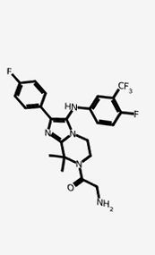 CC1(C)c2nc(-c3ccc(F)cc3)c(Nc3ccc(F)c(C(F)(F)F)c3)n2CCN1C(=O)CN